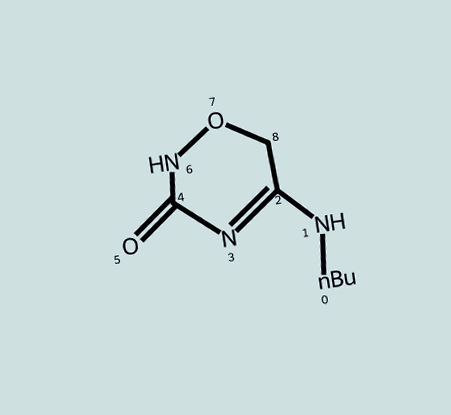 CCCCNC1=NC(=O)NOC1